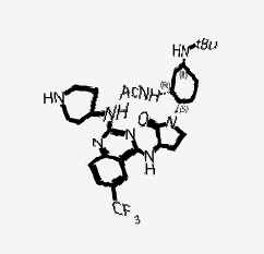 CC(=O)N[C@@H]1C[C@H](NC(C)(C)C)CC[C@@H]1N1CCC(Nc2nc(NC3CCNCC3)nc3ccc(C(F)(F)F)cc23)C1=O